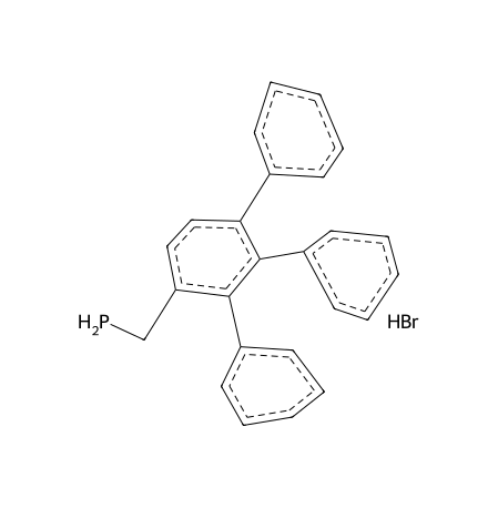 Br.PCc1ccc(-c2ccccc2)c(-c2ccccc2)c1-c1ccccc1